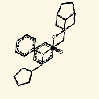 O=C(OCC1C2CCC1CN(Cc1ccccc1)C2)N(CC1CCCC1)c1ccccc1